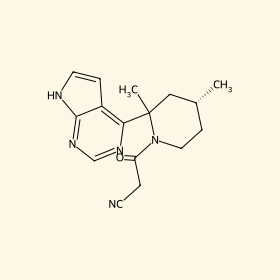 C[C@@H]1CCN(C(=O)CC#N)C(C)(c2ncnc3[nH]ccc23)C1